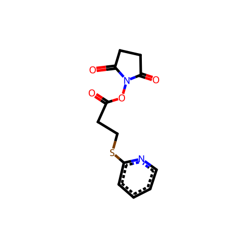 O=C(CCSc1ccccn1)ON1C(=O)CCC1=O